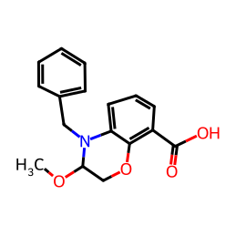 COC1COc2c(C(=O)O)cccc2N1Cc1ccccc1